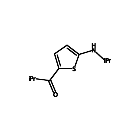 CC(C)Nc1ccc(C(=O)C(C)C)s1